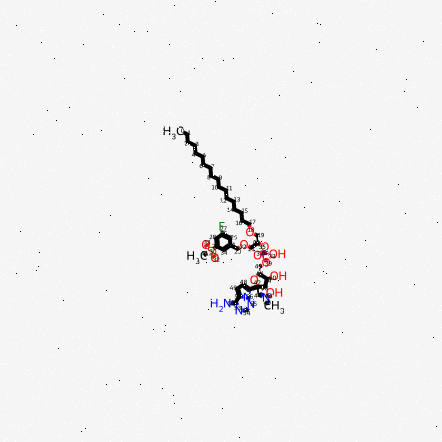 CCCCCCCCCCCCCCCCCCOC[C@H](COCc1cc(F)cc(S(C)(=O)=O)c1)OP(=O)(O)OC[C@H]1O[C@@](C=NC)(c2ccc3c(N)ncnn23)[C@H](O)[C@@H]1O